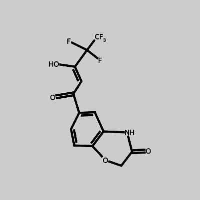 O=C1COc2ccc(C(=O)C=C(O)C(F)(F)C(F)(F)F)cc2N1